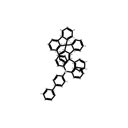 c1ccc(-c2ccc(N(c3ccccc3)c3ccc(-c4cccc5c4C4(c6ccccc6-5)c5ccccc5-c5c(-c6ccccc6)cccc54)cc3)cc2)cc1